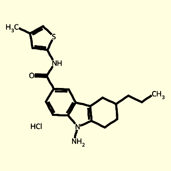 CCCC1CCc2c(c3cc(C(=O)Nc4cc(C)cs4)ccc3n2N)C1.Cl